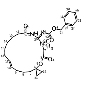 CN1CC(=O)OC2(CCC/C=C/CCCCCC(=O)N/C1=N/C(=O)OCc1ccccc1)CC2